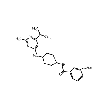 COc1cccc(C(=O)NC2CCC(Nc3cc(N(C)C)nc(C)n3)CC2)c1